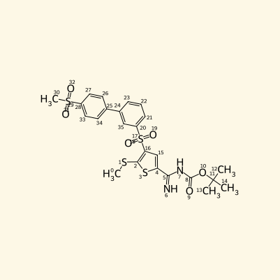 CSc1sc(C(=N)NC(=O)OC(C)(C)C)cc1S(=O)(=O)c1cccc(-c2ccc(S(C)(=O)=O)cc2)c1